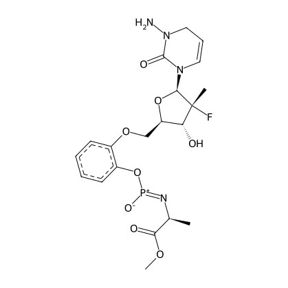 COC(=O)[C@H](C)N=[P+]([O-])Oc1ccccc1OC[C@H]1O[C@@H](N2C=CCN(N)C2=O)[C@](C)(F)[C@@H]1O